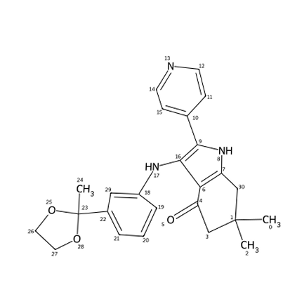 CC1(C)CC(=O)c2c([nH]c(-c3ccncc3)c2Nc2cccc(C3(C)OCCO3)c2)C1